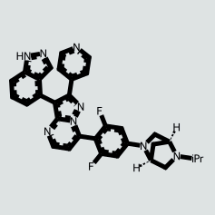 CC(C)N1C[C@@H]2C[C@H]1CN2c1cc(F)c(-c2ccnc3c(-c4cccc5[nH]ncc45)c(-c4ccncc4)nn23)c(F)c1